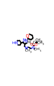 CN(CCN(C)C(=O)OC(C)(C)C)Cc1cn([C@H]2CCCCO2)nc1C1CCNCC1